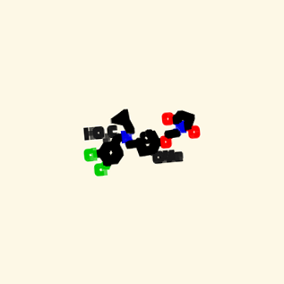 COc1cc(CN(CC2CC2)C(C(=O)O)c2ccc(Cl)c(Cl)c2)ccc1OCCN1C(=O)CCC1=O